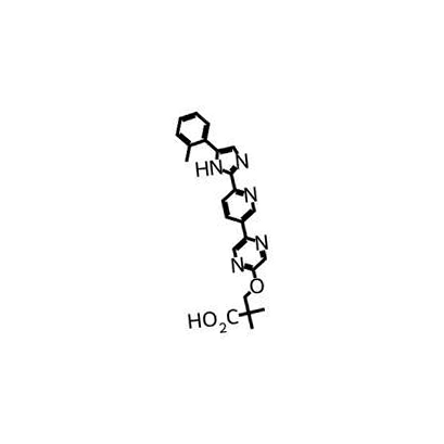 Cc1ccccc1-c1cnc(-c2ccc(-c3cnc(OCC(C)(C)C(=O)O)cn3)cn2)[nH]1